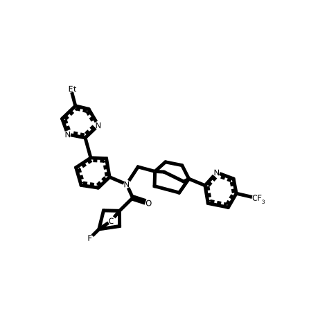 CCc1cnc(-c2cccc(N(CC34CCC(c5ccc(C(F)(F)F)cn5)(CC3)CC4)C(=O)C34CC(F)(C3)C4)c2)nc1